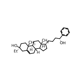 CC[C@]1(O)CC[C@@]2(C)C(=CC[C@H]3[C@@H]4CC[C@H](CCC[C@@H](O)c5ccccc5)[C@@]4(C)CC[C@@H]32)C1